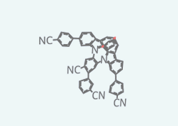 N#Cc1ccc(-c2ccc3c4ccccc4n(-c4cc(C#N)c(-c5cccc(C#N)c5)cc4-n4c5ccccc5c5ccc(-c6ccc(C#N)cc6)cc54)c3c2)cc1